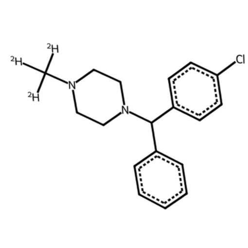 [2H]C([2H])([2H])N1CCN(C(c2ccccc2)c2ccc(Cl)cc2)CC1